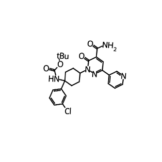 CC(C)(C)OC(=O)NC1(c2cccc(Cl)c2)CCC(n2nc(-c3cccnc3)cc(C(N)=O)c2=O)CC1